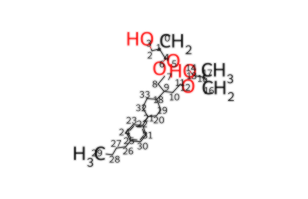 C=C(CO)C(=O)OCCC(CCOC(O)C(=C)C)C1CCC(c2ccc(CCCC)cc2)CC1